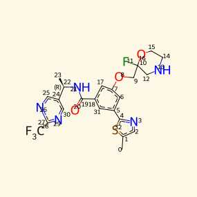 Cc1cnc(-c2cc(OCC3(F)CNCCO3)cc(C(=O)N[C@H](C)c3cnc(C(F)(F)F)nc3)c2)s1